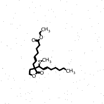 CCCCC/C=C/C(SC)C1(CC=CCCCC(=O)OCC)CCOC1=O